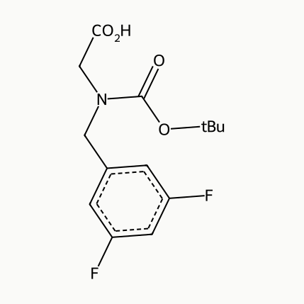 CC(C)(C)OC(=O)N(CC(=O)O)Cc1cc(F)cc(F)c1